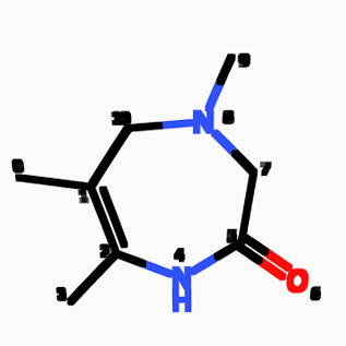 CC1=C(C)NC(=O)CN(C)C1